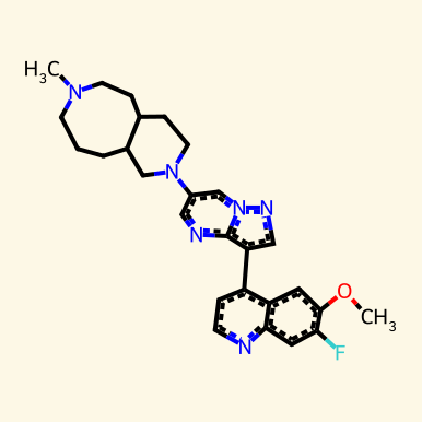 COc1cc2c(-c3cnn4cc(N5CCC6CCN(C)CCCC6C5)cnc34)ccnc2cc1F